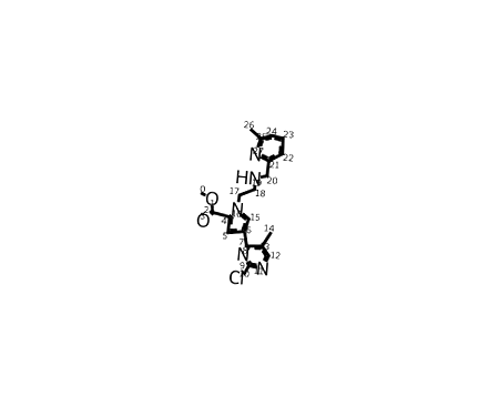 COC(=O)c1cc(-c2nc(Cl)ncc2C)cn1CCNCc1cccc(C)n1